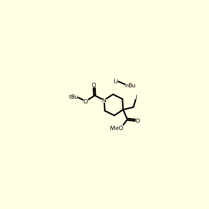 COC(=O)C1(CI)CCN(C(=O)OC(C)(C)C)CC1.[Li][CH2]CCC